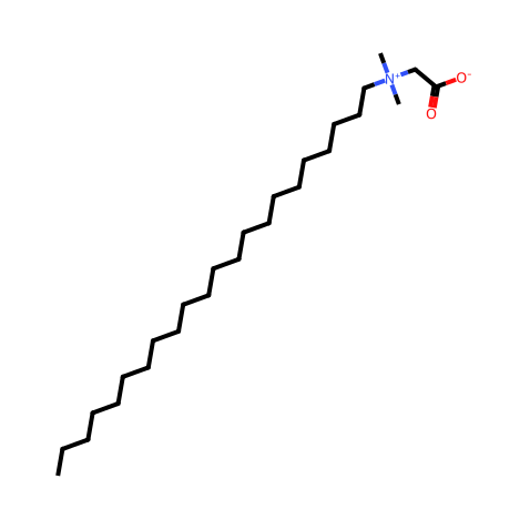 CCCCCCCCCCCCCCCCCCCCCC[N+](C)(C)CC(=O)[O-]